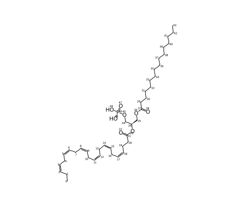 CC/C=C\C/C=C\C/C=C\C/C=C\C/C=C\C/C=C\CCC(=O)O[C@H](COC(=O)CCCCCCCCCCCCCCC)COP(=O)(O)O